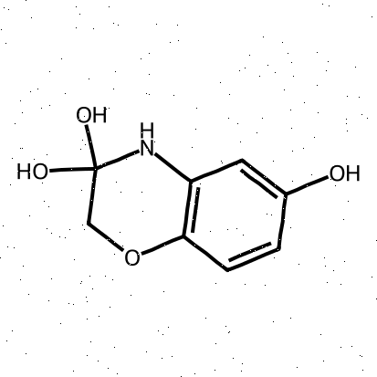 Oc1ccc2c(c1)NC(O)(O)CO2